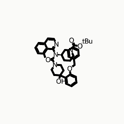 Cc1cccc2ccnc(N(C(=O)N3CCC(O)(c4ccccc4OCc4ccccc4)CC3)[C@@H]3CCCN(C(=O)OC(C)(C)C)C3)c12